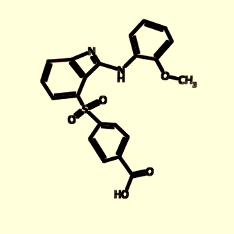 COc1ccccc1NC1=Nc2cccc(S(=O)(=O)c3ccc(C(=O)O)cc3)c21